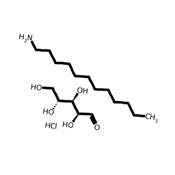 CCCCCCCCCCCCN.Cl.O=C[C@@H](O)[C@H](O)[C@H](O)CO